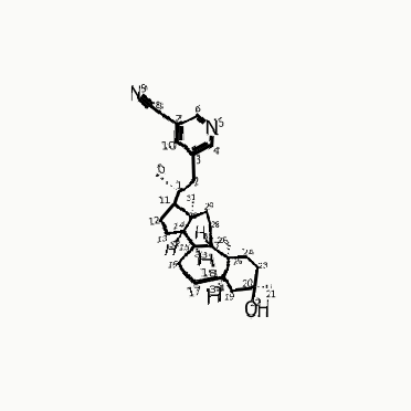 C[C@H](Cc1cncc(C#N)c1)C1CC[C@H]2[C@@H]3CC[C@@H]4C[C@](C)(O)CC[C@]4(C)[C@H]3CC[C@]12C